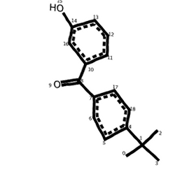 CC(C)(C)c1ccc(C(=O)c2cccc(O)c2)cc1